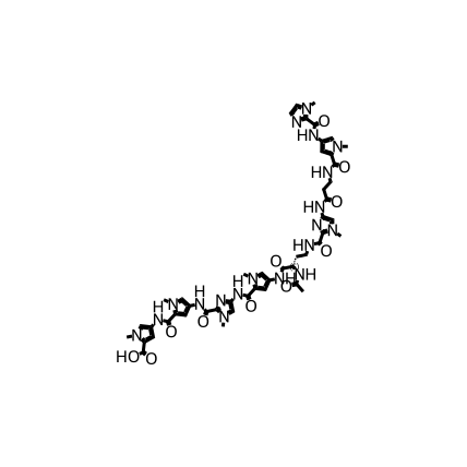 CC(=O)N[C@@H](CCNC(=O)c1nc(NC(=O)CCNC(=O)c2cc(NC(=O)c3nccn3C)cn2C)cn1C)C(=O)Nc1cc(C(=O)Nc2cn(C)c(C(=O)Nc3cc(C(=O)Nc4cc(C(=O)O)n(C)c4)n(C)c3)n2)n(C)c1